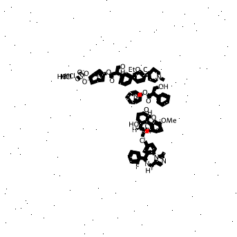 CCOC(=O)C1(c2ccccc2)CCN(C)CC1.CN1C2CCC1CC(OC(=O)C(CO)c1ccccc1)C2.CN1C2CCC1CC(OC(=O)C(CO)c1ccccc1)C2.COc1ccc2c3c1O[C@H]1C(=O)CC[C@@]4(O)[C@@H](C2)N(C)CC[C@]314.Cc1ncc2n1-c1ccc(Cl)cc1C(c1ccccc1F)=NC2.Cl.Cl.Cl.O=S(=O)([O-])[O-].[H+].[H+]